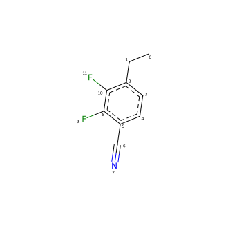 CCc1ccc(C#N)c(F)c1F